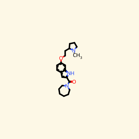 CN1CCCC1CCOc1ccc2cc(C(=O)N3CCCCCC3)[nH]c2c1